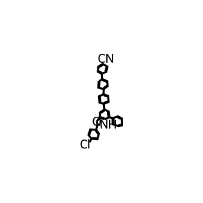 N#Cc1ccc(-c2ccc(-c3ccc(-c4cc5c(c(-c6ccccc6)c4)NC(c4ccc(Cl)cc4)O5)cc3)cc2)cc1